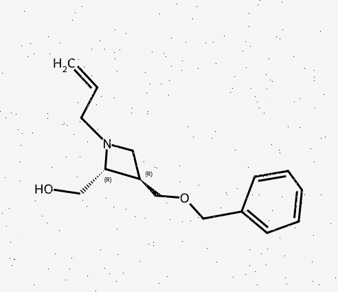 C=CCN1C[C@@H](COCc2ccccc2)[C@@H]1CO